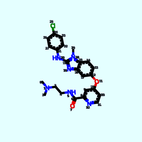 CN(C)CCNC(=O)c1cc(Oc2ccc3c(c2)nc(Nc2ccc(Cl)cc2)n3C)ccn1